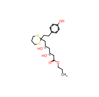 CCCOC(=O)C[C@H](O)C[C@H](O)CC1(CCc2ccc(O)cc2)SCCCS1